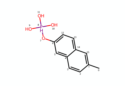 Cc1ccc2cc(O[PH](O)(O)O)ccc2c1